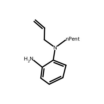 C=CCN(CCCCC)c1ccccc1N